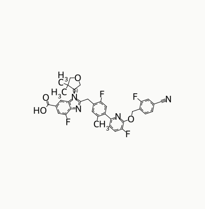 Cc1cc(Cc2nc3c(F)cc(C(=O)O)cc3n2[C@@H]2COCC2(C)C)c(F)cc1-c1ccc(F)c(OCc2ccc(C#N)cc2F)n1